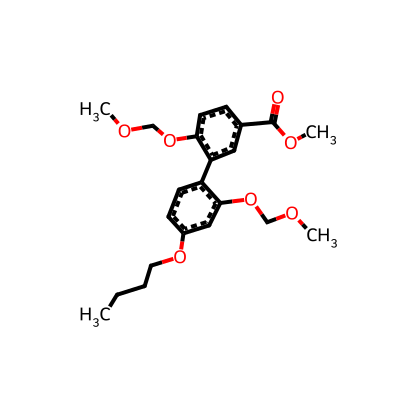 CCCCOc1ccc(-c2cc(C(=O)OC)ccc2OCOC)c(OCOC)c1